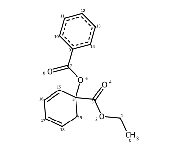 CCOC(=O)C1(OC(=O)c2ccccc2)C=CC=CC1